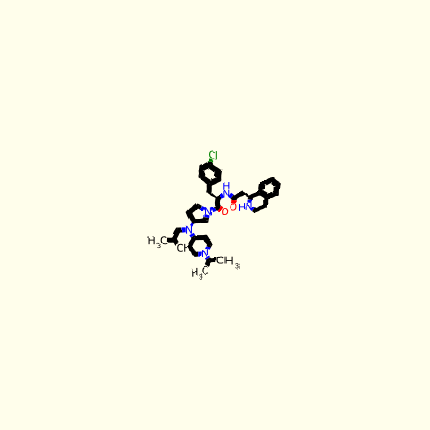 CC(C)CN(C1CCN(C(C)C)CC1)[C@H]1CCN(C(=O)[C@@H](Cc2ccc(Cl)cc2)NC(=O)C[C@@H]2NCCc3ccccc32)C1